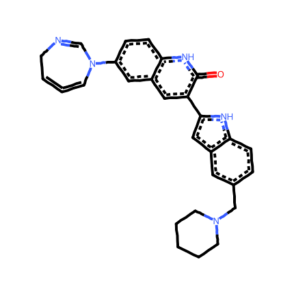 O=c1[nH]c2ccc(N3C=C=CCN=C3)cc2cc1-c1cc2cc(CN3CCCCC3)ccc2[nH]1